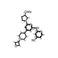 CO[C@@H]1CCN(c2cc(C3CCN(C4COC4)CC3)cc(Nc3cc(C#N)ccn3)n2)C1